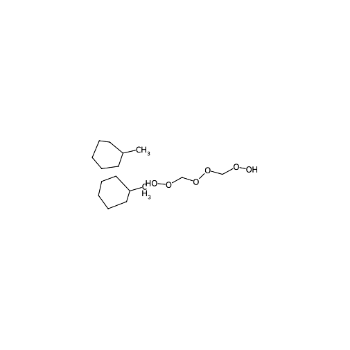 CC1CCCCC1.CC1CCCCC1.OOCOOCOO